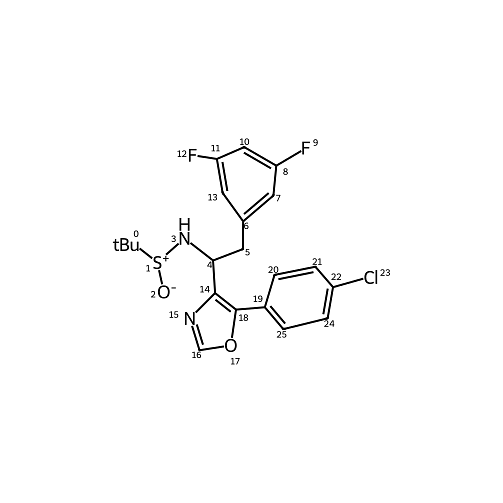 CC(C)(C)[S+]([O-])NC(Cc1cc(F)cc(F)c1)c1ncoc1-c1ccc(Cl)cc1